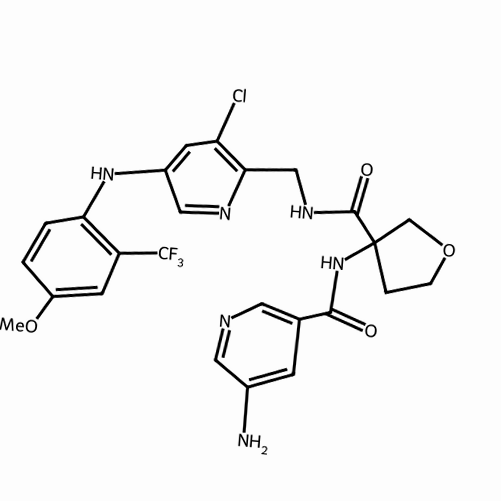 COc1ccc(Nc2cnc(CNC(=O)C3(NC(=O)c4cncc(N)c4)CCOC3)c(Cl)c2)c(C(F)(F)F)c1